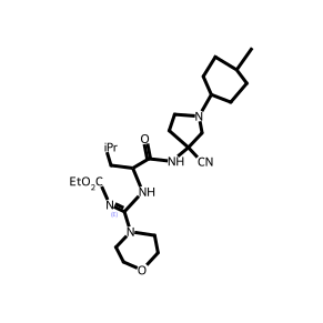 CCOC(=O)/N=C(\NC(CC(C)C)C(=O)NC1(C#N)CCN(C2CCC(C)CC2)C1)N1CCOCC1